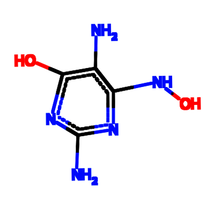 Nc1nc(O)c(N)c(NO)n1